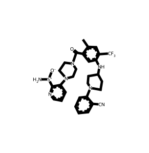 Cc1cc(C(F)(F)F)c(NC2CCN(c3ccccc3C#N)CC2)cc1C(=O)N1CCN(c2cccnc2[S+](N)[O-])CC1